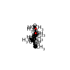 Cc1cccc(CNC[C@@H](O)[C@@]23CC[C@]4(C)[C@H](CC[C@@H]5[C@@]6(C)CC[C@H](OC(=O)CC(C)(C)C(=O)O)[C@H](C)[C@@H]6CC[C@]54C)C2=C(C(C)C)C(=O)C3)c1F